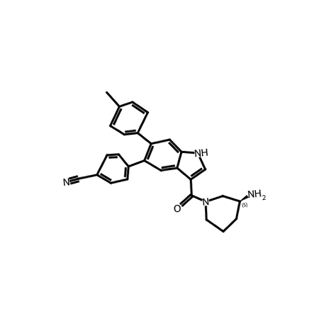 Cc1ccc(-c2cc3[nH]cc(C(=O)N4CCC[C@H](N)C4)c3cc2-c2ccc(C#N)cc2)cc1